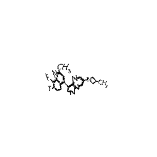 Cc1cc(-c2cnn3cc(N4CC(C)C4)cnc23)c2ccc(F)c(F)c2n1